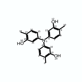 Cc1ccc(N(c2ccc(C)c(O)c2)c2ccc(C)c(O)c2)cc1O